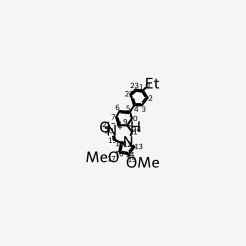 CCc1ccc(C2=CC=C3[C@@H](C2)Cn2cc(OC)c(OC)c2C=[N+]3[O-])cc1